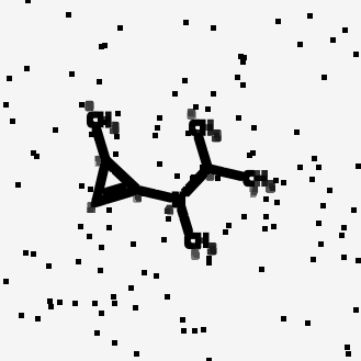 CC1C=C1N(C)C(C)C